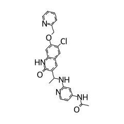 CC(=O)Nc1ccnc(NC(C)c2cc3cc(Cl)c(OCc4ccccn4)cc3[nH]c2=O)c1